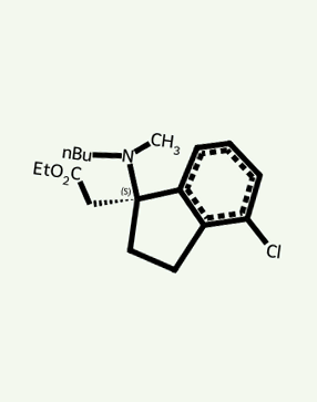 CCCCN(C)[C@]1(CC(=O)OCC)CCc2c(Cl)cccc21